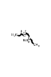 CCCOCC(C)OCCC.N